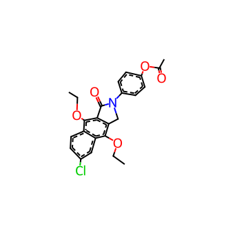 CCOc1c2c(c(OCC)c3ccc(Cl)cc13)C(=O)N(c1ccc(OC(C)=O)cc1)C2